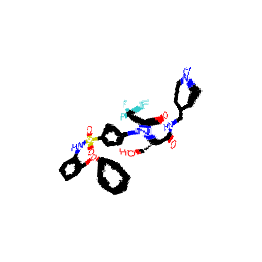 O=C(NCC1CCNCC1)[C@H](CO)N(C(=O)C(F)(F)F)c1ccc(S(=O)(=O)Nc2ccccc2Oc2ccccc2)cc1